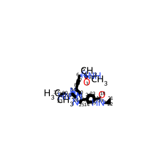 CNC(=O)N(C)CC#Cc1cn2c(-c3ccc(C(=O)NC4CC4)cc3)cnc2c(NCC(C)C)n1